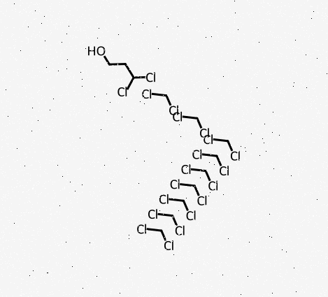 ClCCl.ClCCl.ClCCl.ClCCl.ClCCl.ClCCl.ClCCl.ClCCl.ClCCl.OCCC(Cl)Cl